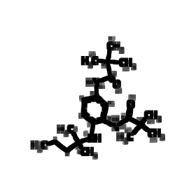 CCCC(C)(C)Nc1ccc(NC(=O)C(C)(C)C)cc1NC(=O)C(C)(C)C